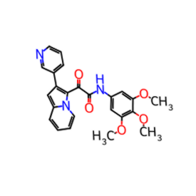 COc1cc(NC(=O)C(=O)c2c(-c3cccnc3)cc3ccccn23)cc(OC)c1OC